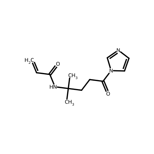 C=CC(=O)NC(C)(C)CCC(=O)n1ccnc1